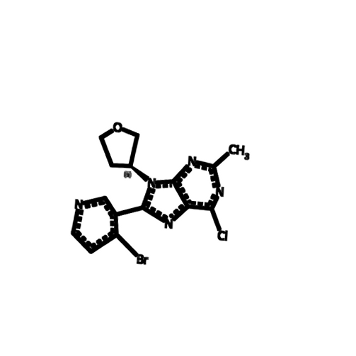 Cc1nc(Cl)c2nc(-c3cnccc3Br)n([C@H]3CCOC3)c2n1